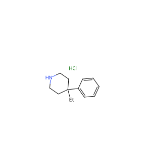 CCC1(c2ccccc2)CCNCC1.Cl